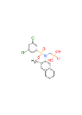 Cc1cc2ccccc2cc1N(CP(=O)(O)O)S(=O)(=O)c1cc(Cl)cc(Cl)c1